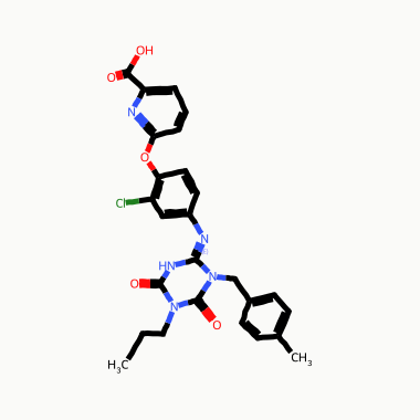 CCCn1c(=O)[nH]/c(=N\c2ccc(Oc3cccc(C(=O)O)n3)c(Cl)c2)n(Cc2ccc(C)cc2)c1=O